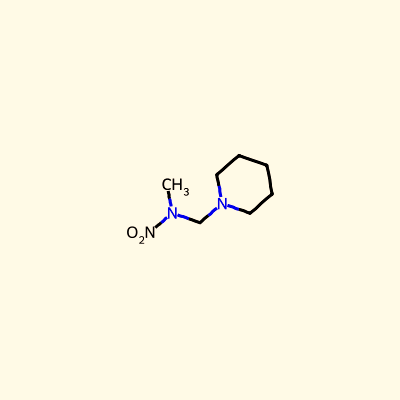 CN(CN1CCCCC1)[N+](=O)[O-]